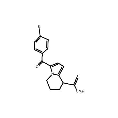 COC(=O)C1CCCn2c(C(=O)c3ccc(Br)cc3)ccc21